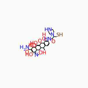 CC1c2ccc(NC(=O)C(CS)N3CCNCC3)c(O)c2C(=O)C2=C(O)C3(O)C(=O)C(C(N)=O)=C(O)[C@@H](N(C)C)C3C(O)C21